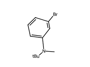 CN(c1cccc(Br)c1)C(C)(C)C